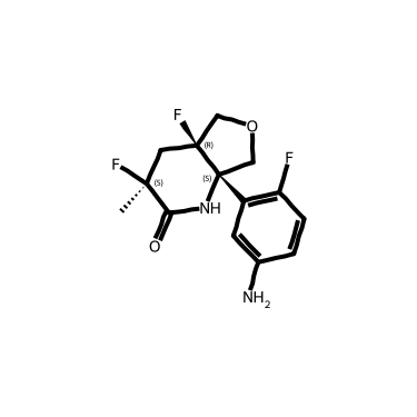 C[C@]1(F)C[C@]2(F)COC[C@]2(c2cc(N)ccc2F)NC1=O